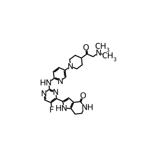 CN(C)CC(=O)C1CCN(c2ccc(Nc3ncc(F)c(-c4cc5c([nH]4)CCNC5=O)n3)nc2)CC1